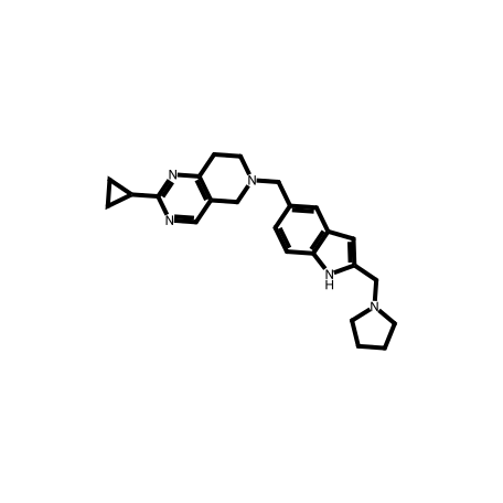 c1cc2[nH]c(CN3CCCC3)cc2cc1CN1CCc2nc(C3CC3)ncc2C1